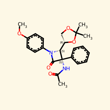 COc1ccc(N2C(=O)[C@](NC(C)=O)(c3ccccc3)[C@H]2[C@@H]2COC(C)(C)O2)cc1